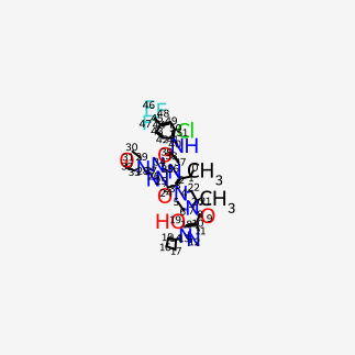 CCc1c(N2CCN(C(=O)c3cnn(C4CCC4)c3O)[C@H](C)C2)c(=O)n2nc(N3CCOCC3)nc2n1CC(=O)Nc1ccc(C(F)(F)F)cc1Cl